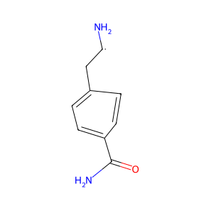 N[CH]Cc1ccc(C(N)=O)cc1